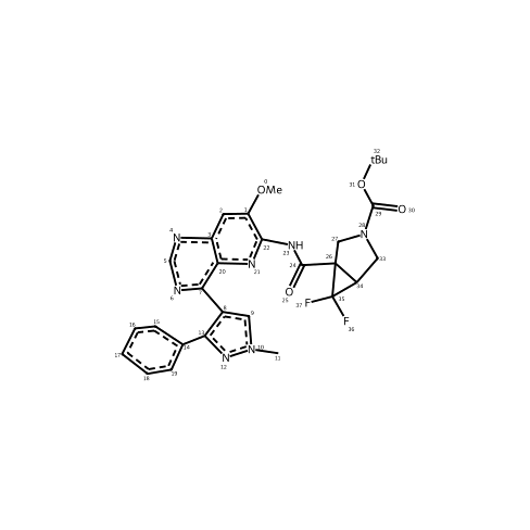 COc1cc2ncnc(-c3cn(C)nc3-c3ccccc3)c2nc1NC(=O)C12CN(C(=O)OC(C)(C)C)CC1C2(F)F